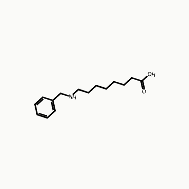 O=C(O)CCCCCCCNCc1ccccc1